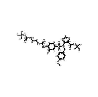 COc1ccc(CN(c2scnc2C(=O)OC(C)(C)C)S(=O)(=O)c2ccc(NC(=O)OCCNC(=O)OC(C)(C)C)c(F)c2)cc1